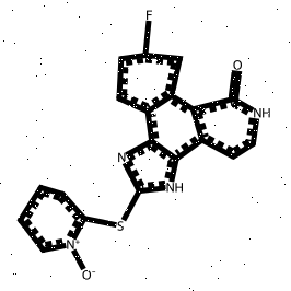 O=c1[nH]ccc2c3[nH]c(Sc4cccc[n+]4[O-])nc3c3ccc(F)cc3c12